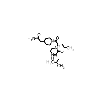 CCC[C@@H](C(=O)N1CCC(CC(N)=O)CC1)N1CCN[C@@H](CC(C)C)C1=O